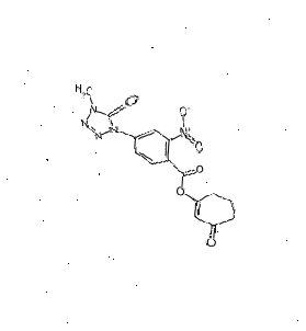 Cn1nnn(-c2ccc(C(=O)OC3=CC(=O)CCC3)c([N+](=O)[O-])c2)c1=O